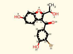 CC(O)c1oc2cc(O)ccc2c1C(=O)c1ccc(O)c(Br)c1